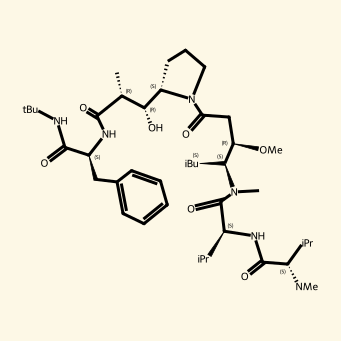 CC[C@H](C)[C@@H]([C@@H](CC(=O)N1CCC[C@H]1[C@H](O)[C@@H](C)C(=O)N[C@@H](Cc1ccccc1)C(=O)NC(C)(C)C)OC)N(C)C(=O)[C@@H](NC(=O)[C@@H](NC)C(C)C)C(C)C